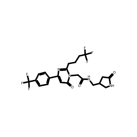 O=C1CC(CNC(=O)Cn2c(CCCC(F)(F)F)nc(-c3ccc(C(F)(F)F)cc3)cc2=O)CN1